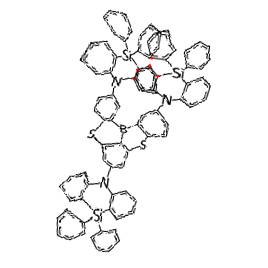 c1ccc([Si]2(c3ccccc3)c3ccccc3N(c3cc4c5c(c3)Sc3ccc(N6c7ccccc7[Si](c7ccccc7)(c7ccccc7)c7ccccc76)cc3B5c3cc(N5c6ccccc6[Si](c6ccccc6)(c6ccccc6)c6ccccc65)ccc3S4)c3ccccc32)cc1